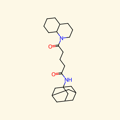 O=C(CCCC(=O)N1CCCC2CCCCC21)NC12CC3CC(CC(C3)C1)C2